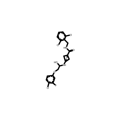 O=C(NCc1c(Cl)cccc1Cl)C12CC(NC(O)COc3ccc(Cl)c(F)c3)(C1)C2